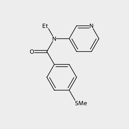 CCN(C(=O)c1ccc(SC)cc1)c1cccnc1